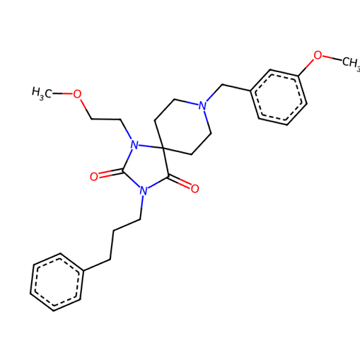 COCCN1C(=O)N(CCCc2ccccc2)C(=O)C12CCN(Cc1cccc(OC)c1)CC2